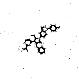 CCC1C(c2ccnc(C(N)=O)n2)C(Cc2ccccc2)C(=O)N1c1ccc2c(cnn2-c2ccc(F)cc2)c1